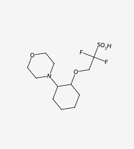 O=S(=O)(O)C(F)(F)COC1CCCCC1N1CCOCC1